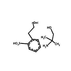 CC(C)(N)CO.CCCCCCCCCCCCc1ccccc1S(=O)(=O)O